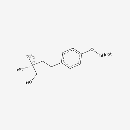 CCCCCCCOc1ccc(CC[C@](N)(CO)CCC)cc1